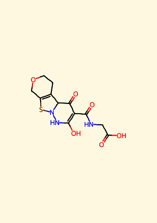 O=C(O)CNC(=O)C1=C(O)NN2SC3=C(CCOC3)C2C1=O